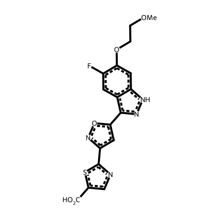 COCCOc1cc2[nH]nc(-c3cc(-c4ncc(C(=O)O)s4)no3)c2cc1F